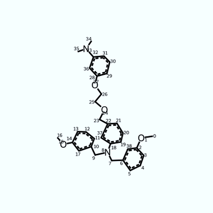 COc1cccc(CN(Cc2cccc(OC)c2)c2cccc(COCCOc3cccc(N(C)C)c3)c2)c1